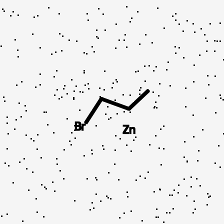 CCCBr.[Zn]